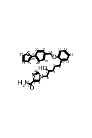 NC(=O)c1cn(C[C@@H](O)CCCc2ccccc2OCc2ccc(-c3cccs3)cc2)cn1